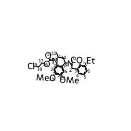 CCOC(=O)N(Cc1ccccc1)C1CC(C)N(C(=O)OCCCl)c2cc(OC)c(OC)cc21